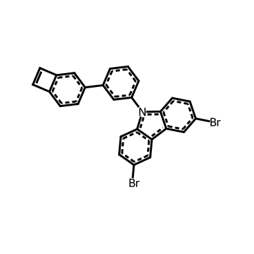 Brc1ccc2c(c1)c1cc(Br)ccc1n2-c1cccc(-c2ccc3c(c2)C=C3)c1